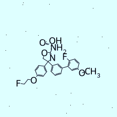 COc1ccc(F)c(-c2cccc(C3(c4ccc(OCCF)cc4)COC(N)=N3)c2)c1.O=CO